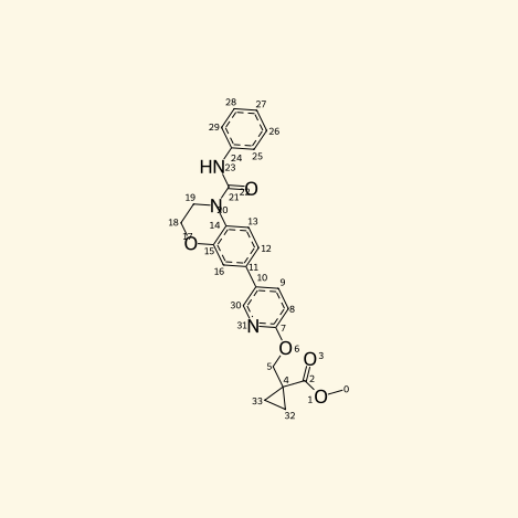 COC(=O)C1(COc2ccc(-c3ccc4c(c3)OCCN4C(=O)Nc3ccccc3)cn2)CC1